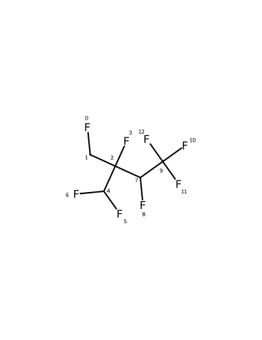 FCC(F)(C(F)F)C(F)C(F)(F)F